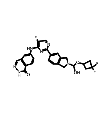 O=c1[nH]ncc2cc(Nc3nc(-c4ccc5c(c4)CN(C(O)OC4CC(F)(F)C4)C5)ncc3F)ccc12